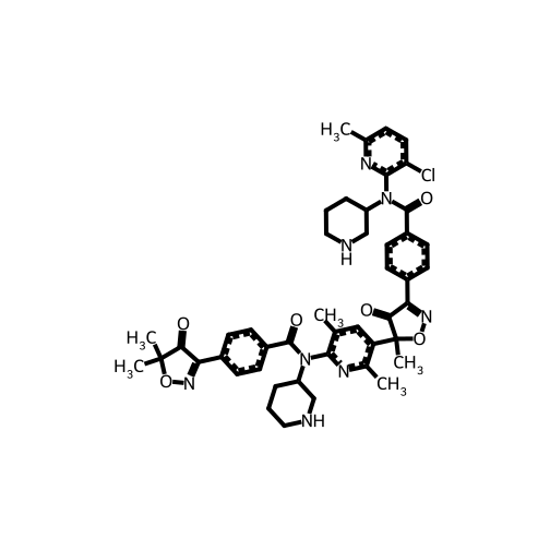 Cc1ccc(Cl)c(N(C(=O)c2ccc(C3=NOC(C)(c4cc(C)c(N(C(=O)c5ccc(C6=NOC(C)(C)C6=O)cc5)C5CCCNC5)nc4C)C3=O)cc2)C2CCCNC2)n1